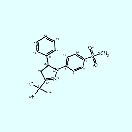 CS(=O)(=O)c1ccc(N2N=C(C(F)(F)F)CC2c2ccccc2)cc1